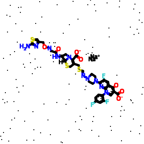 Nc1nc(CON=CC(=O)N[C@@H]2CN3C(C(=O)[O-])=C(CSC=NN4CCN(c5nc6c(cc5F)c(=O)c(C(=O)[O-])cn6-c5ccc(F)cc5F)CC4)CS[C@H]23)cs1.[Na+].[Na+]